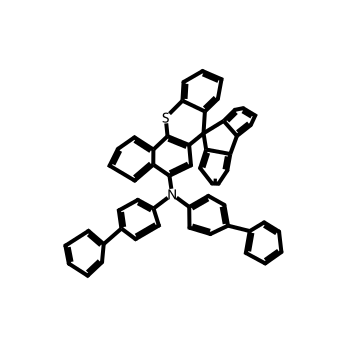 c1ccc(-c2ccc(N(c3ccc(-c4ccccc4)cc3)c3cc4c(c5ccccc35)Sc3ccccc3C43c4ccccc4-c4ccccc43)cc2)cc1